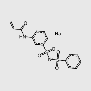 C=CC(=O)Nc1cccc(S(=O)(=O)[N-]S(=O)(=O)c2ccccc2)c1.[Na+]